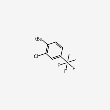 CC(C)(C)c1ccc(S(C)(C)(F)(F)F)cc1Cl